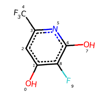 Oc1cc(C(F)(F)F)nc(O)c1F